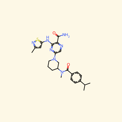 Cc1cc(Nc2nc(N3CCCC(N(C)C(=O)c4ccc(C(C)C)cc4)C3)cnc2C(N)=O)sn1